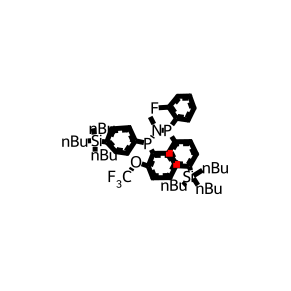 CCCC[Si](CCCC)(CCCC)c1ccc(P(c2ccccc2F)N(C)P(c2ccc([Si](CCCC)(CCCC)CCCC)cc2)c2ccccc2OC(F)(F)F)cc1